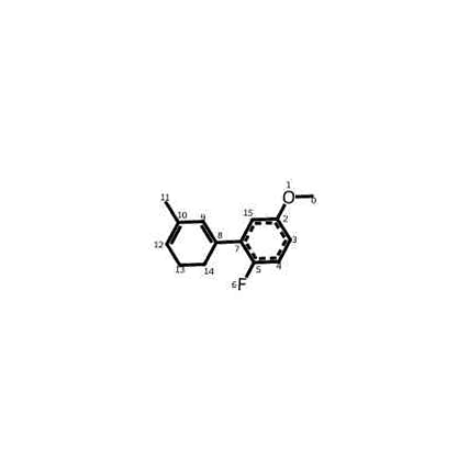 COc1ccc(F)c(C2=CC(C)=CCC2)c1